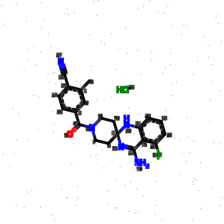 Cc1cc(C(=O)N2CCC3(CC2)N=C(N)c2c(F)cccc2N3)ccc1C#N.Cl